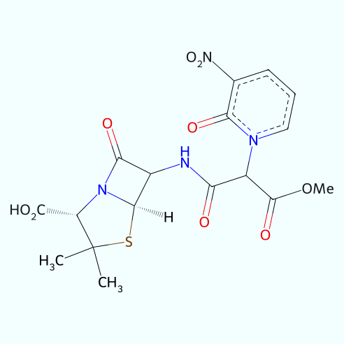 COC(=O)C(C(=O)NC1C(=O)N2[C@@H]1SC(C)(C)[C@@H]2C(=O)O)n1cccc([N+](=O)[O-])c1=O